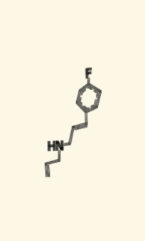 C=CCNC/C=C/c1ccc(F)cc1